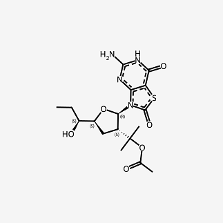 CC[C@H](O)[C@@H]1C[C@@H](C(C)(C)OC(C)=O)[C@H](n2c(=O)sc3c(=O)[nH]c(N)nc32)O1